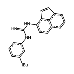 CCC(C)c1cccc(NC(=N)Nc2ccc3cccc4c3c2C=C4)c1